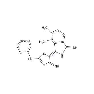 Cc1ccc2c(c1C)/C(=C1\SC(Nc3ccccc3)=NC1=N)NC2=N